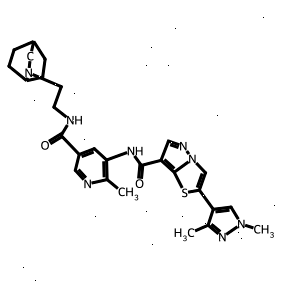 Cc1ncc(C(=O)NCCN2CC3CCC2CC3)cc1NC(=O)c1cnn2cc(-c3cn(C)nc3C)sc12